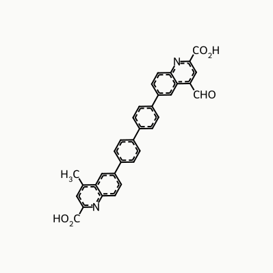 Cc1cc(C(=O)O)nc2ccc(-c3ccc(-c4ccc(-c5ccc6nc(C(=O)O)cc(C=O)c6c5)cc4)cc3)cc12